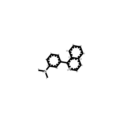 CN(C)c1cccc(-c2nccc3ccccc23)c1